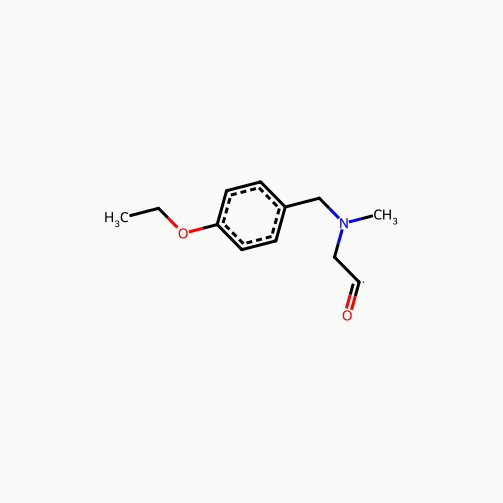 CCOc1ccc(CN(C)C[C]=O)cc1